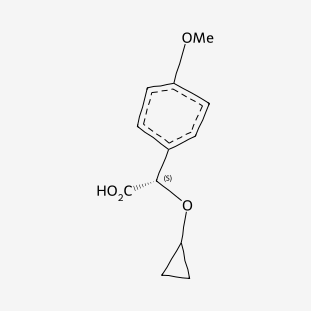 COc1ccc([C@H](OC2CC2)C(=O)O)cc1